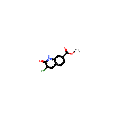 COC(=O)c1ccc2cc(Cl)c(=O)[nH]c2c1